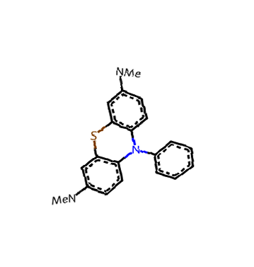 CNc1ccc2c(c1)Sc1cc(NC)ccc1N2c1ccccc1